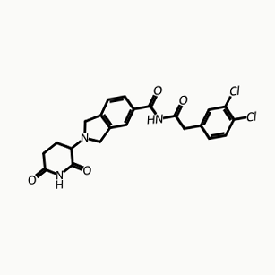 O=C(Cc1ccc(Cl)c(Cl)c1)NC(=O)c1ccc2c(c1)CN(C1CCC(=O)NC1=O)C2